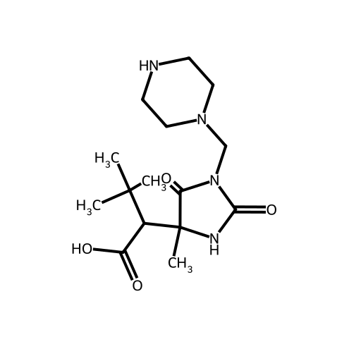 CC(C)(C)C(C(=O)O)C1(C)NC(=O)N(CN2CCNCC2)C1=O